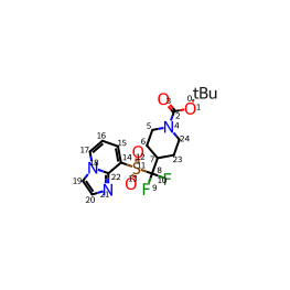 CC(C)(C)OC(=O)N1CCC(C(F)(F)S(=O)(=O)c2cccn3ccnc23)CC1